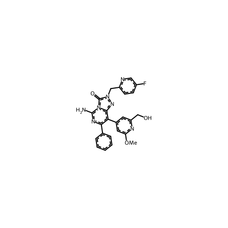 COc1cc(-c2c(-c3ccccc3)nc(N)n3c(=O)n(Cc4ccc(F)cn4)nc23)cc(CO)n1